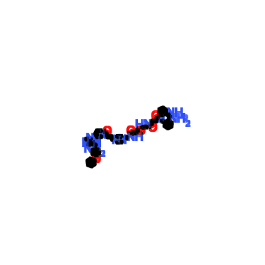 N/C1=C(\N)c2ccccc2N(C(=O)CCC(=O)NCCOCCC(=O)NCCN2CCN(C/C=C/C(=O)N3CCC[C@@H](n4nc(-c5ccc(Oc6ccccc6)cc5)c5c(N)ncnc54)C3)CC2)Cc2ccccc21